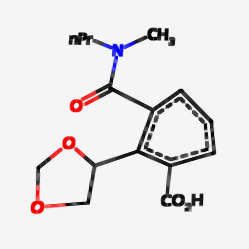 CCCN(C)C(=O)c1cccc(C(=O)O)c1C1COCO1